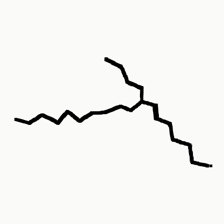 [CH2]CCCCC=CC(CCCC)CCCCCCCCCC